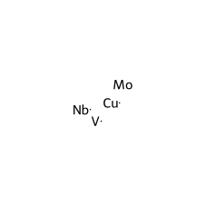 [Cu].[Mo].[Nb].[V]